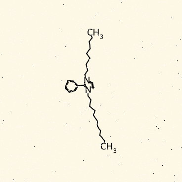 CCCCCCCCCCC[n+]1ccn(CCCCCCCCC)c1-c1ccccc1